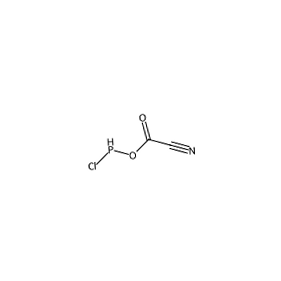 N#CC(=O)OPCl